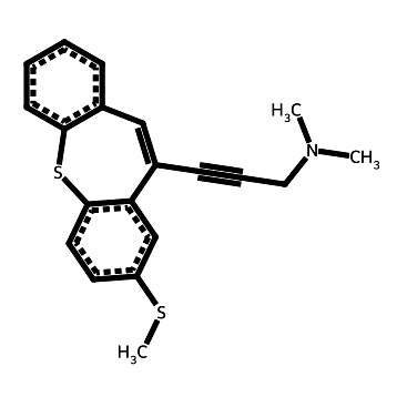 CSc1ccc2c(c1)C(C#CCN(C)C)=Cc1ccccc1S2